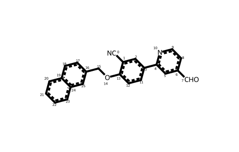 N#Cc1cc(-c2cc(C=O)ccn2)ccc1OCc1ccc2ccccc2c1